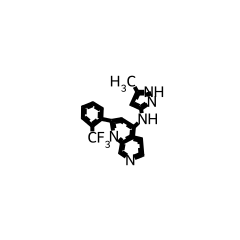 Cc1cc(Nc2cc(-c3ccccc3C(F)(F)F)nc3cnccc23)n[nH]1